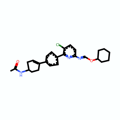 CC(=O)NC1CC=C(c2ccc(-c3nc(/N=C/OC4CCCCC4)ccc3Cl)cc2)CC1